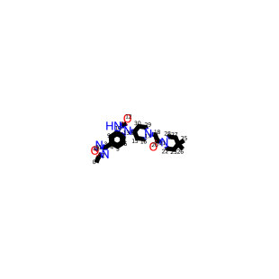 Cc1nc(-c2ccc3c(c2)[nH]c(=O)n3C2CCN(CC(=O)N3CCC(C)(C)CC3)CC2)no1